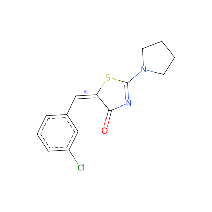 O=C1N=C(N2CCCC2)S/C1=C/c1cccc(Cl)c1